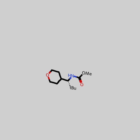 COC(=O)N[C@@H](C1CCOCC1)C(C)(C)C